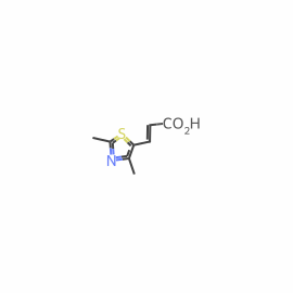 Cc1nc(C)c(C=CC(=O)O)s1